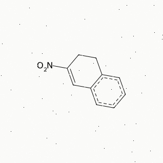 O=[N+]([O-])C1=Cc2ccccc2CC1